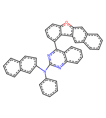 c1ccc(N(c2ccc3ccccc3c2)c2nc(-c3cccc4oc5cc6ccccc6cc5c34)c3ccccc3n2)cc1